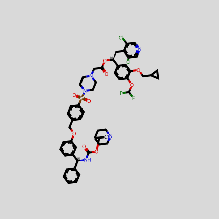 O=C(CN1CCN(S(=O)(=O)c2ccc(COc3cccc([C@@H](NC(=O)OC4CN5CCC4CC5)c4ccccc4)c3)cc2)CC1)O[C@@H](Cc1c(Cl)cncc1Cl)c1ccc(OC(F)F)c(OCC2CC2)c1